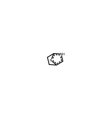 c1[nH]c2nc1CC2